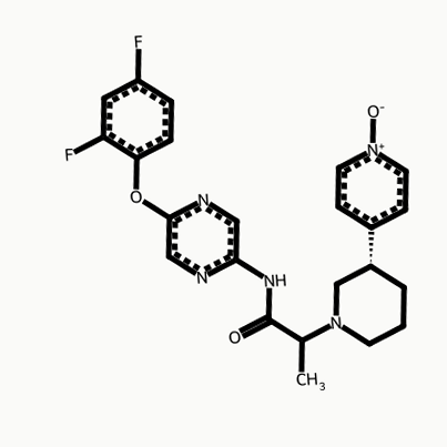 CC(C(=O)Nc1cnc(Oc2ccc(F)cc2F)cn1)N1CCC[C@@H](c2cc[n+]([O-])cc2)C1